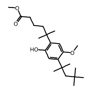 COC(=O)CCCC(C)(C)c1cc(OC)c(C(C)(C)CC(C)(C)C)cc1O